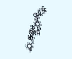 CN1C(=O)[C@@H](NC(=O)n2cc(Cc3cccc(F)c3)cn2)COc2ccc(OCC(=O)N3CCC(F)(F)CC3)cc21